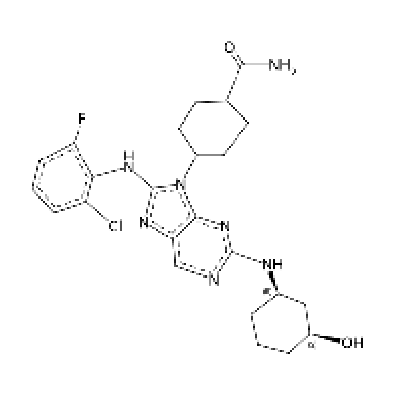 NC(=O)C1CCC(n2c(Nc3c(F)cccc3Cl)nc3cnc(N[C@@H]4CCC[C@H](O)C4)nc32)CC1